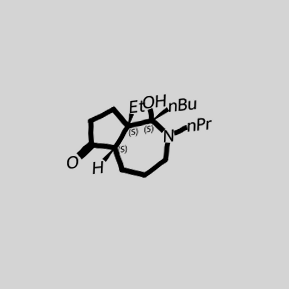 CCCC[C@@]1(O)N(CCC)CCC[C@@H]2C(=O)CC[C@@]21CC